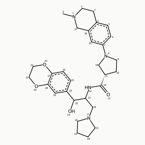 CN1CCc2ccc(N3CC[C@H](C(=O)NC(CN4CCCC4)C(O)c4ccc5c(c4)OCCO5)C3)cc2C1